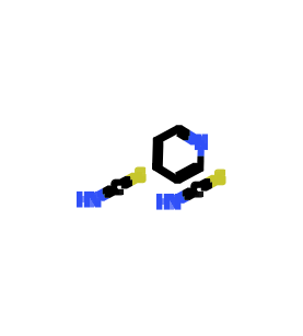 N=C=S.N=C=S.c1ccncc1